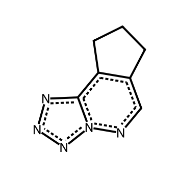 c1nn2nnnc2c2c1CCC2